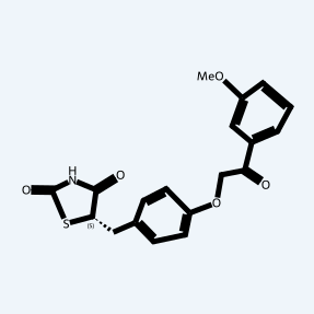 COc1cccc(C(=O)COc2ccc(C[C@@H]3SC(=O)NC3=O)cc2)c1